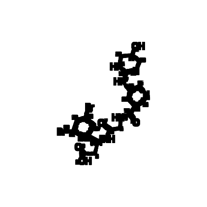 O=C(O)C[C@H](NC(=O)CNC(=O)c1cncc(NC2=NCC(O)CN2)c1)c1cc(Br)cc(Br)c1